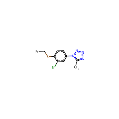 CC(C)CSc1ccc(-n2nnnc2C(F)(F)F)cc1Br